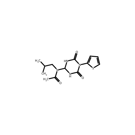 CC(=O)N(CC(C)C)C1NC(=O)N(c2cccs2)C(=O)N1